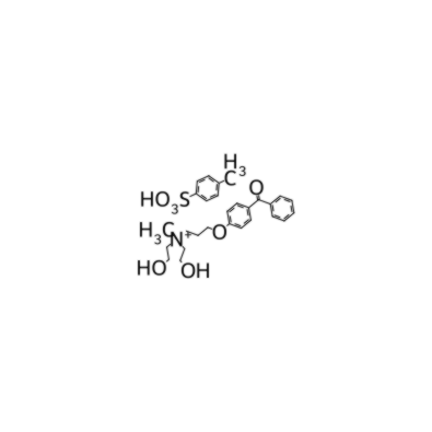 C[N+](CCO)(CCO)CCCOc1ccc(C(=O)c2ccccc2)cc1.Cc1ccc(S(=O)(=O)O)cc1